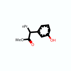 CCCC(C(=O)OC)c1cccc(O)c1